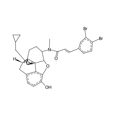 CN(C(=O)/C=C/c1ccc(Br)c(Br)c1)C1CC[C@@]2(O)[C@H]3Cc4ccc(O)c5c4[C@@]2(CCN3CC2CC2)C1O5